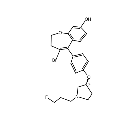 Oc1ccc2c(c1)OCCC(Br)=C2c1ccc(O[C@H]2CCN(CCCF)C2)cc1